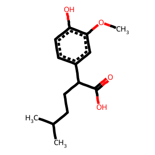 COc1cc(C(CCC(C)C)C(=O)O)ccc1O